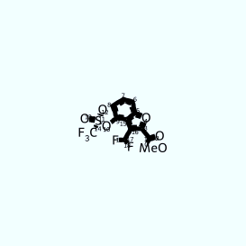 COC(=O)c1oc2cccc(OS(=O)(=O)C(F)(F)F)c2c1C(F)F